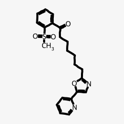 CS(=O)(=O)c1ccccc1C(=O)CCCCCCc1ncc(-c2ccccn2)o1